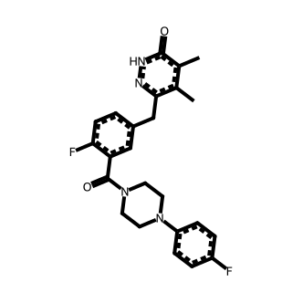 Cc1c(Cc2ccc(F)c(C(=O)N3CCN(c4ccc(F)cc4)CC3)c2)n[nH]c(=O)c1C